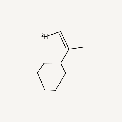 [2H]/C=C(/C)C1CCCCC1